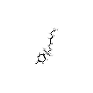 Cc1ccc(S(=O)(=O)OCC/C=C/CO)cc1